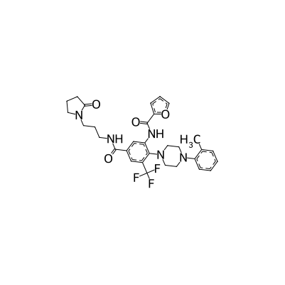 Cc1ccccc1N1CCN(c2c(NC(=O)c3ccco3)cc(C(=O)NCCCN3CCCC3=O)cc2C(F)(F)F)CC1